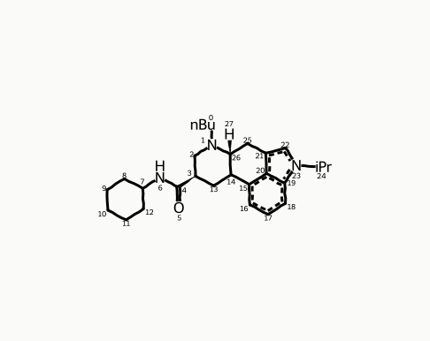 CCCCN1C[C@H](C(=O)NC2CCCCC2)CC2c3cccc4c3c(cn4C(C)C)C[C@H]21